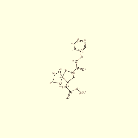 CC(C)(C)OC(=O)NC1CN(C(=O)OCc2ccccc2)CC12OCCO2